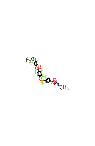 C/C=C/C1COC(c2cc(F)c(C(F)(F)Oc3cc(F)c(C(=O)Oc4cc(F)c(OC(F)(F)F)c(F)c4)c(F)c3)c(F)c2)OC1